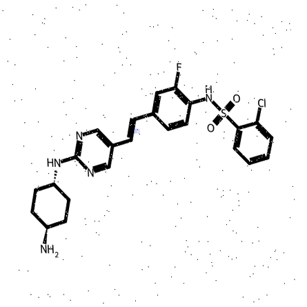 N[C@H]1CC[C@H](Nc2ncc(/C=C/c3ccc(NS(=O)(=O)c4ccccc4Cl)c(F)c3)cn2)CC1